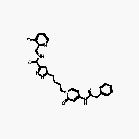 O=C(Cc1ccccc1)Nc1ccn(CCCCc2nnc(C(=O)NCc3ncccc3F)s2)c(=O)c1